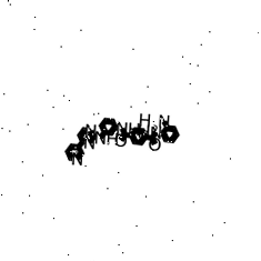 Nc1ccccc1NC(=O)c1ccc(C(=O)Nc2cccc(Nc3nccc(-c4cccnc4)n3)c2)cc1